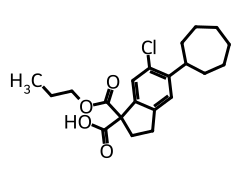 CCCOC(=O)C1(C(=O)O)CCc2cc(C3CCCCCC3)c(Cl)cc21